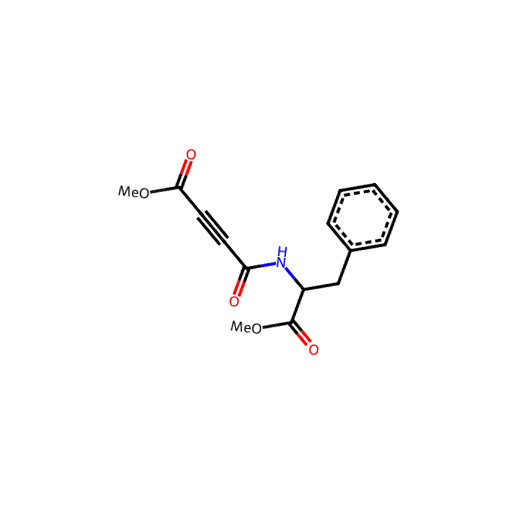 COC(=O)C#CC(=O)NC(Cc1ccccc1)C(=O)OC